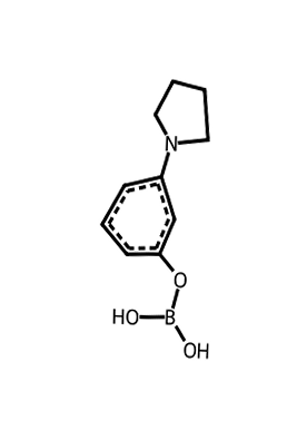 OB(O)Oc1cccc(N2CCCC2)c1